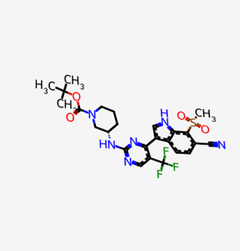 CC(C)(C)OC(=O)N1CCC[C@H](Nc2ncc(C(F)(F)F)c(-c3c[nH]c4c(S(C)(=O)=O)c(C#N)ccc34)n2)C1